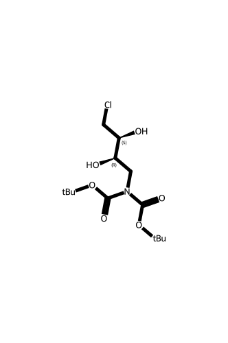 CC(C)(C)OC(=O)N(C[C@@H](O)[C@H](O)CCl)C(=O)OC(C)(C)C